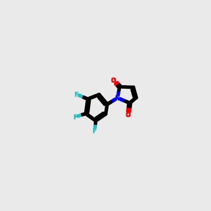 O=C1C=CC(=O)N1c1cc(F)c(F)c(F)c1